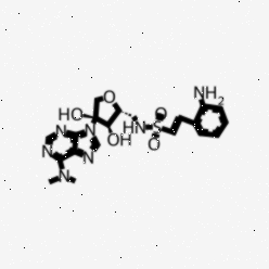 CN(C)c1ncnc2c1ncn2[C@]1(O)CO[C@H](CNS(=O)(=O)/C=C/c2ccccc2N)[C@H]1O